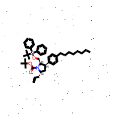 C=CC[C@H]1C[C@H](c2ccc(CCCCCCCC)cc2)[C@H](CO[Si](c2ccccc2)(c2ccccc2)C(C)(C)C)N1C(=O)OC(C)(C)C